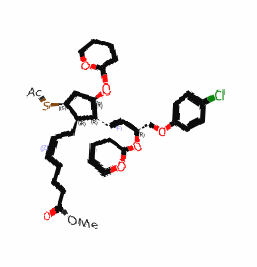 COC(=O)CCC/C=C\C[C@@H]1[C@@H](/C=C/[C@H](COc2ccc(Cl)cc2)OC2CCCCO2)[C@H](OC2CCCCO2)C[C@@H]1SC(C)=O